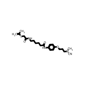 C=C(C)SCC(=O)NCCCCCC(=O)Nc1ccc(OCCCN(C)C#N)cc1